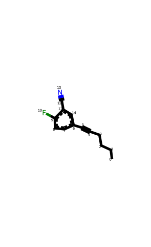 CCCCC#Cc1ccc(F)c(C#N)c1